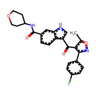 Cc1onc(-c2ccc(F)cc2)c1C(=O)c1c[nH]c2cc(C(=O)NC3CCOCC3)ccc12